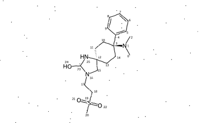 CN(C)[C@]1(c2ccccc2)CC[C@]2(CC1)CN(CCS(C)(=O)=O)C(O)N2